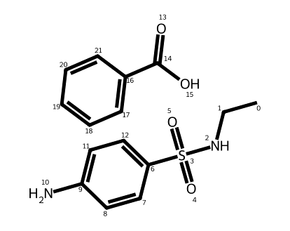 CCNS(=O)(=O)c1ccc(N)cc1.O=C(O)c1ccccc1